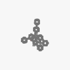 c1ccc(-c2ccc(N(c3ccc(-c4ccccc4)cc3)c3ccc4c(c3)C3(c5ccccc5-4)c4ccccc4-c4sc5ccccc5c43)cc2)cc1